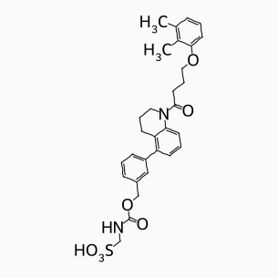 Cc1cccc(OCCCC(=O)N2CCCc3c(-c4cccc(COC(=O)NCS(=O)(=O)O)c4)cccc32)c1C